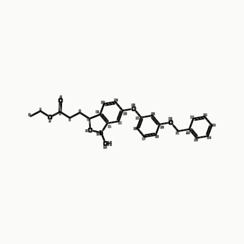 CCOC(=O)CCC1OB(O)c2cc(Oc3cccc(OCc4ccccc4)c3)ccc21